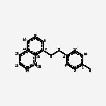 Cc1ccc(CCc2cccc3cccnc23)cc1